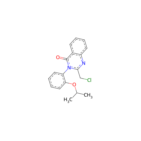 CC(C)Oc1ccccc1-n1c(CCl)nc2ccccc2c1=O